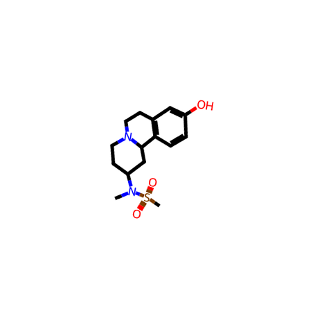 CN(C1CCN2CCc3cc(O)ccc3C2C1)S(C)(=O)=O